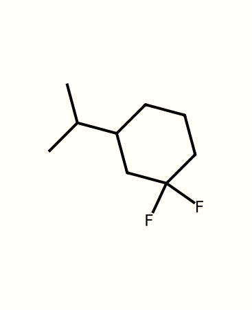 CC(C)C1CCCC(F)(F)C1